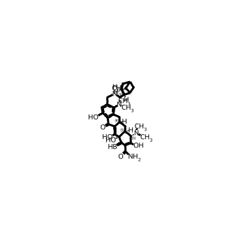 B=C1C(C(N)=O)=C(O)[C@@H](N(C)C)[C@@H]2C[C@@H]3Cc4c(c(O)cc(CN(C)C[C@H]5CCC6CC5C6(C)C)c4N(C)C)C(=O)C3=C(O)[C@]12O